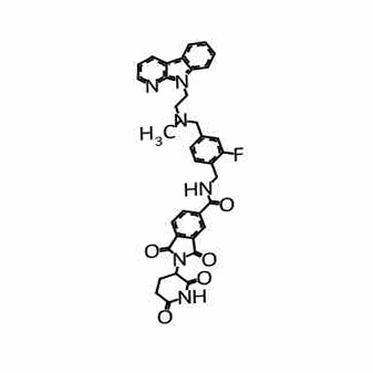 CN(CCn1c2ccccc2c2cccnc21)Cc1ccc(CNC(=O)c2ccc3c(c2)C(=O)N(C2CCC(=O)NC2=O)C3=O)c(F)c1